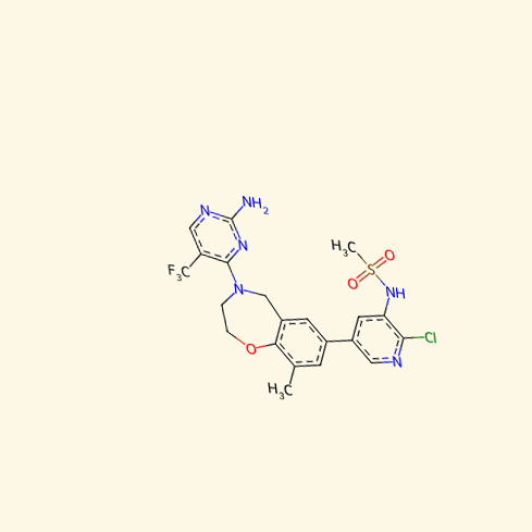 Cc1cc(-c2cnc(Cl)c(NS(C)(=O)=O)c2)cc2c1OCCN(c1nc(N)ncc1C(F)(F)F)C2